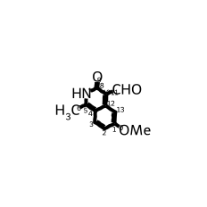 COc1ccc2c(C)[nH]c(=O)c(C=O)c2c1